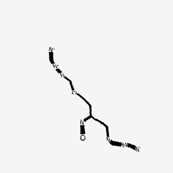 [N-]=[N+]=NCOCC(CN=[N+]=[N-])N=O